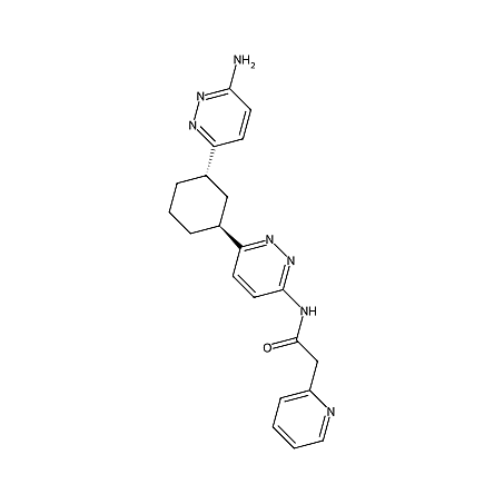 Nc1ccc([C@H]2CCC[C@H](c3ccc(NC(=O)Cc4ccccn4)nn3)C2)nn1